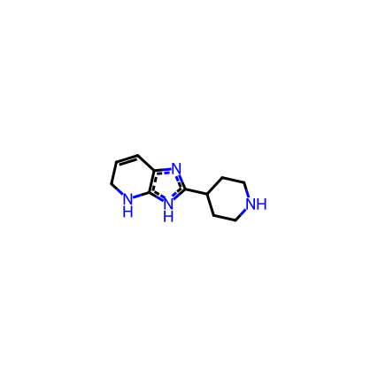 C1=Cc2nc(C3CCNCC3)[nH]c2NC1